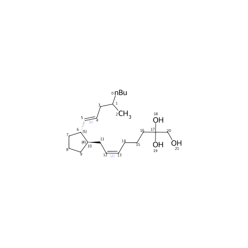 CCCCC(C)C/C=C/[C@H]1CCC[C@@H]1C/C=C\CCCC(O)(O)CO